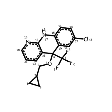 FC(F)(F)C1(OCC2CC2)c2cc(Cl)ccc2Nc2ncccc21